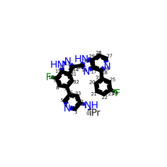 CC(C)Nc1cncc(-c2cc(F)c3[nH]nc(-c4nc5c(-c6cccc(F)c6)nccc5[nH]4)c3c2)c1